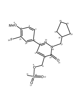 COc1ccc(-c2cc(COS(C)(=O)=O)c(=O)n(CC3CCCC3)n2)cc1F